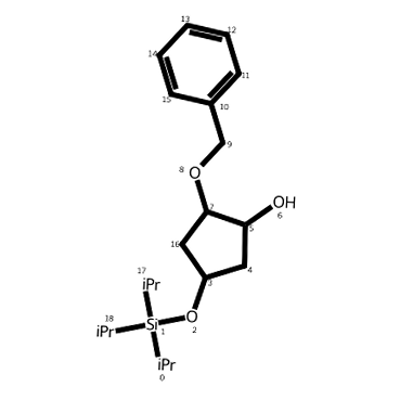 CC(C)[Si](OC1CC(O)C(OCc2ccccc2)C1)(C(C)C)C(C)C